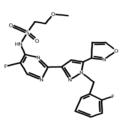 COCCS(=O)(=O)Nc1nc(-c2cc(-c3ccon3)n(Cc3ccccc3F)n2)ncc1F